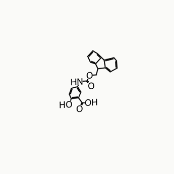 O=C(Nc1ccc(O)c(C(=O)O)c1)OCC1c2ccccc2-c2ccccc21